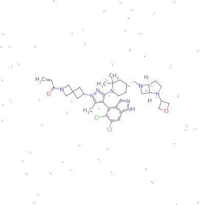 C=CC(=O)N1CC2(CC(n3nc(N4CC[C@@H](CN5C[C@H]6[C@@H]5CCN6C5COC5)CC4(C)C)c(-c4c(Cl)c(Cl)cc5[nH]ncc45)c3C)C2)C1